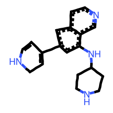 C1=CC(c2cc(NC3CCNCC3)c3cnccc3c2)=CCN1